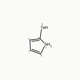 [TeH]C1=CC=C[SiH2]1